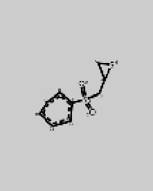 O=S(=O)(CC1CS1)c1ccccc1